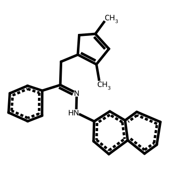 CC1=CC(C)=C(CC(=NNc2ccc3ccccc3c2)c2ccccc2)C1